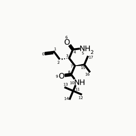 C=CC[C@H](C(N)=O)[C@H](C(=O)NC(C)(C)C)C(C)C